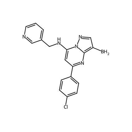 Bc1cnn2c(NCc3cccnc3)cc(-c3ccc(Cl)cc3)nc12